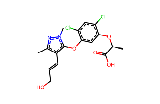 Cc1nn(C)c(Oc2cc(O[C@@H](C)C(=O)O)c(Cl)cc2Cl)c1/C=C/CO